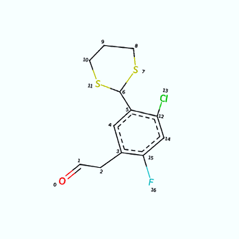 O=CCc1cc(C2SCCCS2)c(Cl)cc1F